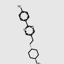 CCCC[C@H]1CC[C@H](CCc2cnc(-c3ccc(C#N)cc3)nc2)CC1